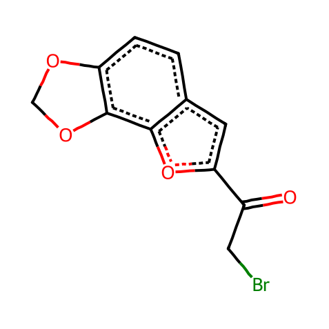 O=C(CBr)c1cc2ccc3c(c2o1)OCO3